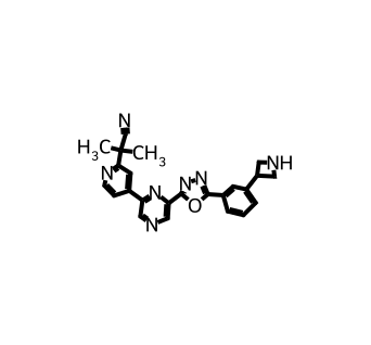 CC(C)(C#N)c1cc(-c2cncc(-c3nnc(-c4cccc(C5CNC5)c4)o3)n2)ccn1